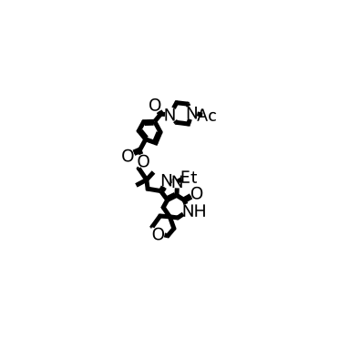 CCn1nc(CC(C)(C)COC(=O)c2ccc(C(=O)N3CCN(C(C)=O)CC3)cc2)c2c1C(=O)NCC1(CCOCC1)C2